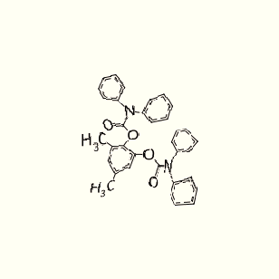 Cc1cc(C)c(OC(=O)N(c2ccccc2)c2ccccc2)c(OC(=O)N(c2ccccc2)c2ccccc2)c1